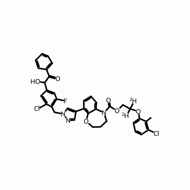 [2H]C([2H])(COC(=O)N1CCCOc2c(-c3cnn(Cc4c(F)cc(C(O)C(=O)c5ccccc5)cc4Cl)c3)cccc21)Oc1cccc(Cl)c1C